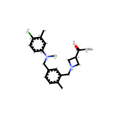 CCN(Cc1ccc(C)c(CN2CC(C(=O)OC)C2)c1)c1ccc(Cl)c(C)c1